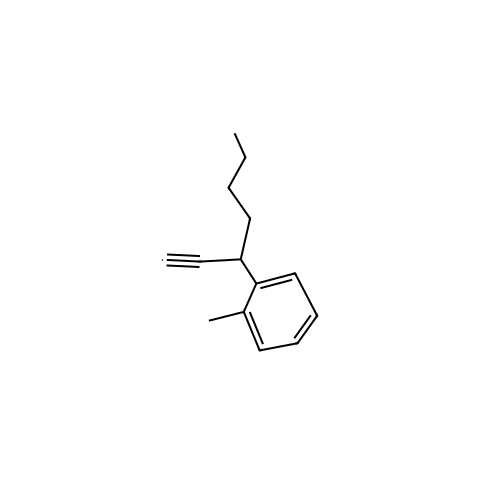 [C]#CC(CCCC)c1ccccc1C